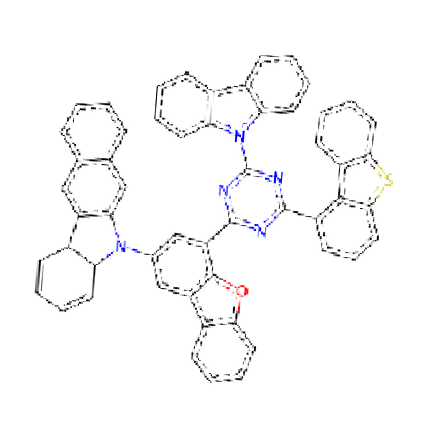 C1=CC2c3cc4ccccc4cc3N(c3cc(-c4nc(-c5cccc6sc7ccccc7c56)nc(-n5c6ccccc6c6ccccc65)n4)c4oc5ccccc5c4c3)C2C=C1